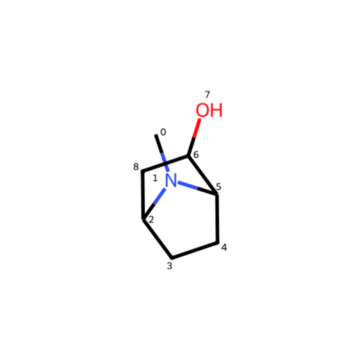 CN1C2CCC1C(O)C2